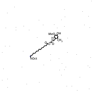 CCCCCCCC/C=C\CCCCCCCCCCCC(=O)OCC(=O)NCc1cc(OC)c(O)cc1C